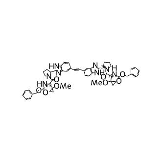 COC1([C@H](NC(=O)OCc2ccccc2)C(=O)N2CCCC2c2nc3cc(C#Cc4ccc5[nH]c([C@@H]6CCCN6C(=O)[C@@H](NC(=O)OCc6ccccc6)C6(OC)CC6)nc5c4)ccc3[nH]2)CC1